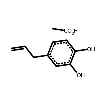 C=CCc1ccc(O)c(O)c1.CC(=O)O